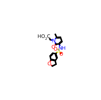 Cc1ccc(NS(=O)(=O)c2ccc3c(c2)CCO3)c(=O)n1CC(=O)O